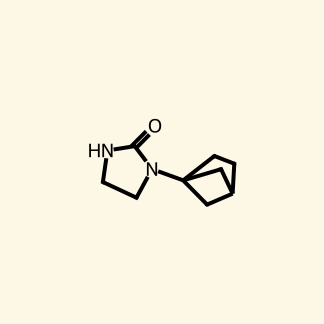 O=C1NCCN1C12CCC(C1)C2